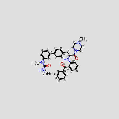 CCCCCCCNC(=O)N(C)c1cccc(-c2ccc(C[C@H](Nc3ccccc3C(=O)c3ccccc3)C(=O)N3CCN(C)CC3)cc2)c1